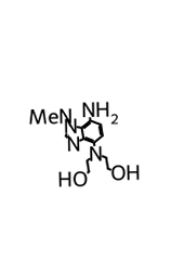 CNn1cnc2c(N(CCO)CCO)ccc(N)c21